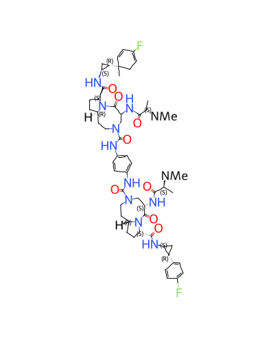 CN[C@@H](C)C(=O)NC1CN(C(=O)Nc2ccc(NC(=O)N3CC[C@H]4CC[C@@H](C(=O)N[C@H]5C[C@@H]5c5ccc(F)cc5)N4C(=O)[C@@H](NC(=O)[C@H](C)NC)C3)cc2)CC[C@H]2CC[C@@H](C(=O)N[C@H]3C[C@@H]3C3(C)C=CC(F)=CC3)N2C1=O